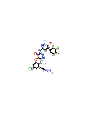 NC#Cc1cc(Cl)cc(Oc2c(C(F)(F)F)ncn(Cc3cc(-c4ccc(F)c(F)c4F)c(=O)[nH]n3)c2=O)c1